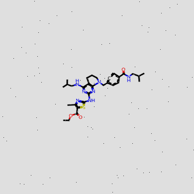 CCOC(=O)c1sc(Nc2nc(NCC(C)C)c3c(n2)N(Cc2ccc(C(=O)NCC(C)C)cc2)CCC3)nc1C